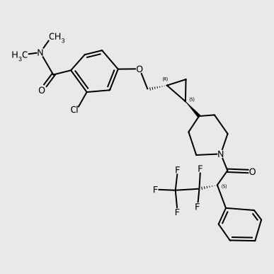 CN(C)C(=O)c1ccc(OC[C@@H]2C[C@H]2C2CCN(C(=O)[C@H](c3ccccc3)C(F)(F)C(F)(F)F)CC2)cc1Cl